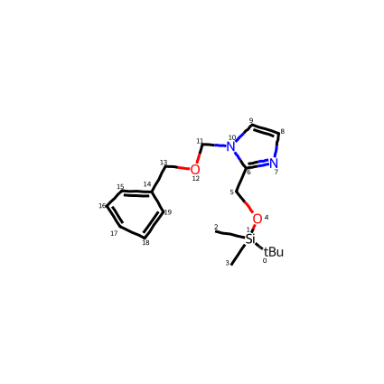 CC(C)(C)[Si](C)(C)OCc1nccn1COCc1ccccc1